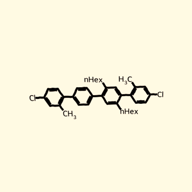 CCCCCCc1cc(-c2ccc(Cl)cc2C)c(CCCCCC)cc1-c1ccc(-c2ccc(Cl)cc2C)cc1